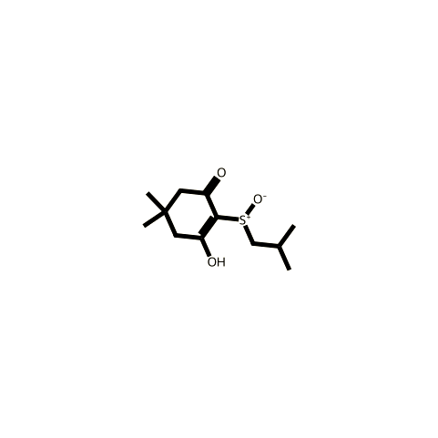 CC(C)C[S+]([O-])C1=C(O)CC(C)(C)CC1=O